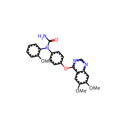 COc1cc2ncnc(Oc3ccc(N(C(N)=O)c4ccccc4OC)cc3)c2cc1OC